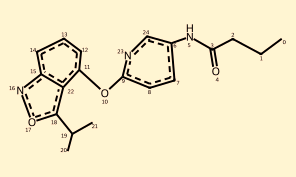 CCCC(=O)Nc1ccc(Oc2cccc3noc(C(C)C)c23)nc1